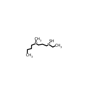 CCCCN(C)CCCN(S)CC